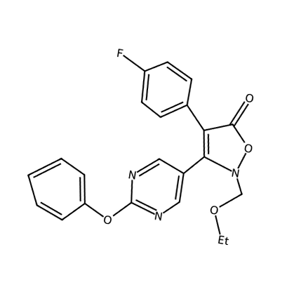 CCOCn1oc(=O)c(-c2ccc(F)cc2)c1-c1cnc(Oc2ccccc2)nc1